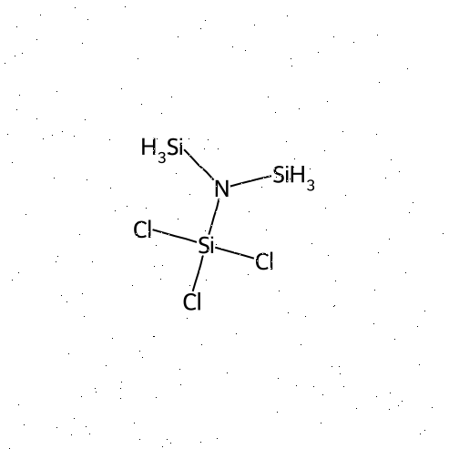 [SiH3]N([SiH3])[Si](Cl)(Cl)Cl